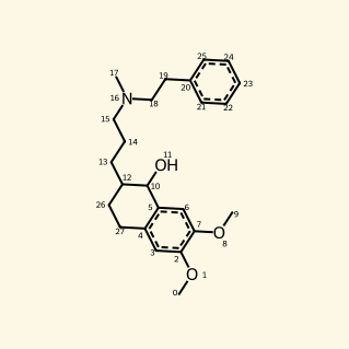 COc1cc2c(cc1OC)C(O)C(CCCN(C)CCc1ccccc1)CC2